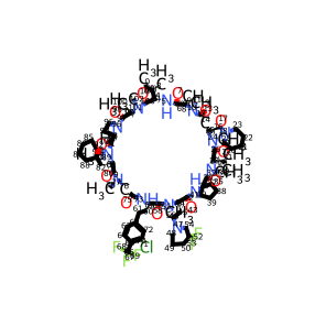 CC[C@H](C)[C@@H]1NC(=O)[C@H](C)N(C)C(=O)C[C@@H](C(=O)N2CCCCC2)N(C)C(=O)[C@H](C(C)C)N(C)C(=O)C2(CCCC2)NC(=O)[C@H](CCN2CCCC(F)(F)C2)N(C)C(=O)[C@H](CCc2ccc(C(F)(F)F)c(Cl)c2)NC(=O)CN(C)C(=O)[C@H](CC2CCCCC2)N(C)C(=O)[C@@H]2CCN2C(=O)[C@H](C)N(C)C1=O